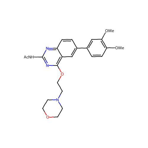 COc1ccc(-c2ccc3nc(NC(C)=O)nc(OCCN4CCOCC4)c3c2)cc1OC